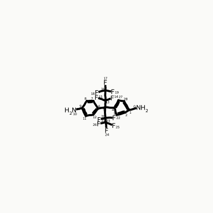 Nc1ccc(C(c2ccc(N)cc2)(C(F)(F)C(F)(F)F)C(F)(F)C(F)(F)F)cc1